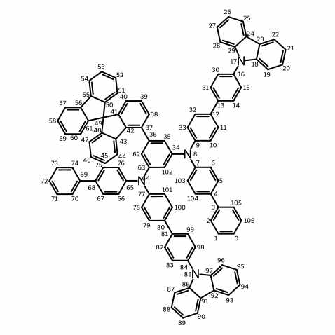 c1ccc(-c2ccc(N(c3ccc(-c4ccc(-n5c6ccccc6c6ccccc65)cc4)cc3)c3cc(-c4cccc5c4-c4ccccc4C54c5ccccc5-c5ccccc54)cc(N(c4ccc(-c5ccccc5)cc4)c4ccc(-c5ccc(-n6c7ccccc7c7ccccc76)cc5)cc4)c3)cc2)cc1